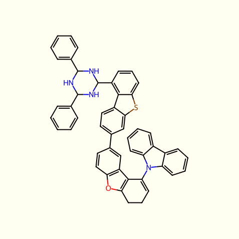 C1=C(n2c3ccccc3c3ccccc32)c2c(oc3ccc(-c4ccc5c(c4)sc4cccc(C6NC(c7ccccc7)NC(c7ccccc7)N6)c45)cc23)CC1